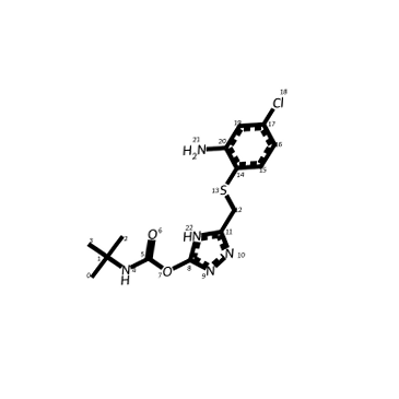 CC(C)(C)NC(=O)Oc1nnc(CSc2ccc(Cl)cc2N)[nH]1